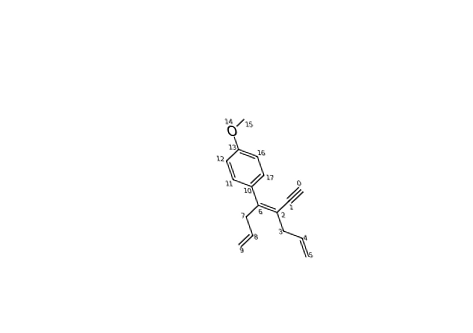 C#CC(CC=C)=C(CC=C)c1ccc(OC)cc1